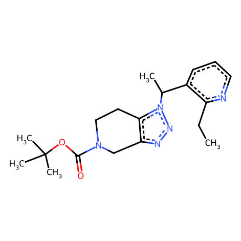 CCc1ncccc1C(C)n1nnc2c1CCN(C(=O)OC(C)(C)C)C2